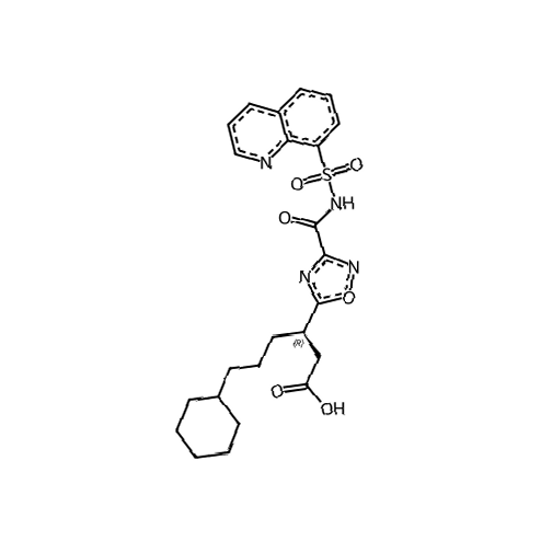 O=C(O)C[C@@H](CCCC1CCCCC1)c1nc(C(=O)NS(=O)(=O)c2cccc3cccnc23)no1